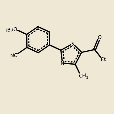 CCC(=O)c1sc(-c2ccc(OCC(C)C)c(C#N)c2)nc1C